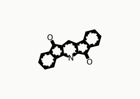 O=c1c2ccccc2c2nc3c(=O)c4ccccc4c3cc12